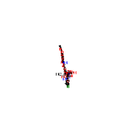 C#CCOCCOCCOCCOCCC(=O)NCCOCCOCCO[C@]1(C(=O)O)C[C@H](O)[C@@H](NC(=O)CO)[C@H]([C@H](O)[C@H](O)CNC(=O)Cc2ccc(Cl)cc2)O1